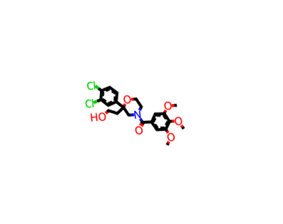 COc1cc(C(=O)N2CCOC(CCO)(c3ccc(Cl)c(Cl)c3)C2)cc(OC)c1OC